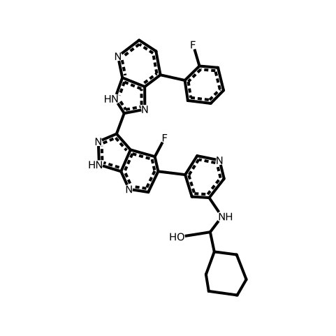 OC(Nc1cncc(-c2cnc3[nH]nc(-c4nc5c(-c6ccccc6F)ccnc5[nH]4)c3c2F)c1)C1CCCCC1